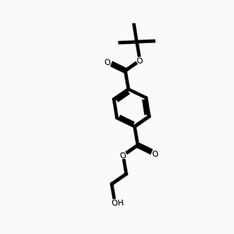 CC(C)(C)OC(=O)c1ccc(C(=O)OCCO)cc1